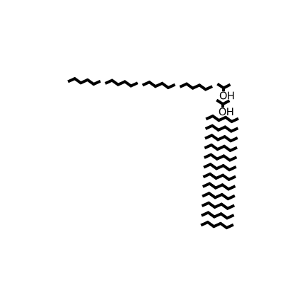 CC(C)O.CC(C)O.CCCCCC.CCCCCC.CCCCCC.CCCCCC.CCCCCC.CCCCCC.CCCCCC.CCCCCC.CCCCCC.CCCCCC.CCCCCC.CCCCCC.CCCCCC.CCCCCC.CCCCCC.CCCCCC